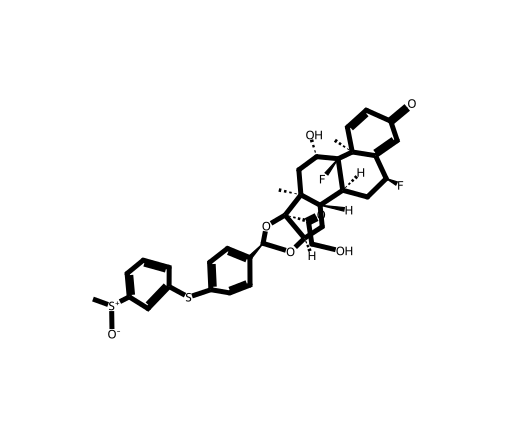 C[S+]([O-])c1cccc(Sc2ccc([C@@H]3O[C@@H]4C[C@H]5[C@@H]6C[C@H](F)C7=CC(=O)C=C[C@]7(C)[C@@]6(F)[C@@H](O)C[C@]5(C)[C@]4(C(=O)CO)O3)cc2)c1